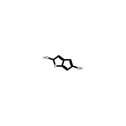 OC1=CC2=CC(O)OC2=C1